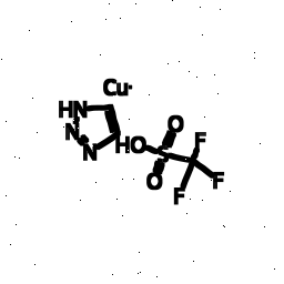 O=S(=O)(O)C(F)(F)F.[Cu].c1c[nH]nn1